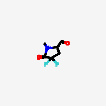 CN1C(=O)C(F)(F)CC1C=O